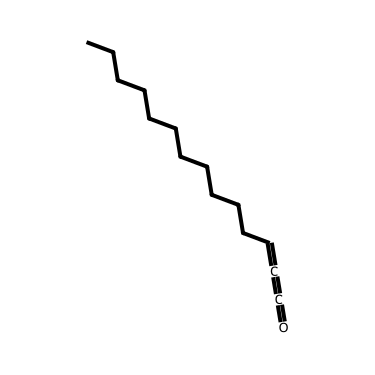 CCCCCCCCCCCC=C=C=O